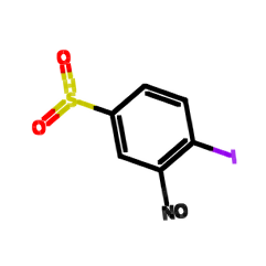 O=Nc1cc([SH](=O)=O)ccc1I